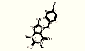 CN1C(=O)C2C(N=C(Br)N2Cc2ccc(Cl)cc2)N(C)C1=O